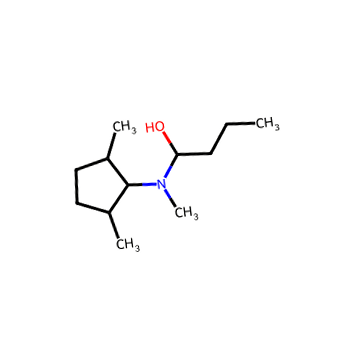 CCCC(O)N(C)C1C(C)CCC1C